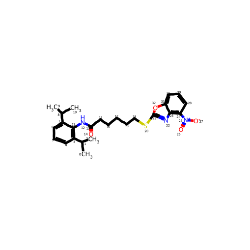 CC(C)c1cccc(C(C)C)c1NC(=O)CCCCCSc1nc2c([N+](=O)[O-])cccc2o1